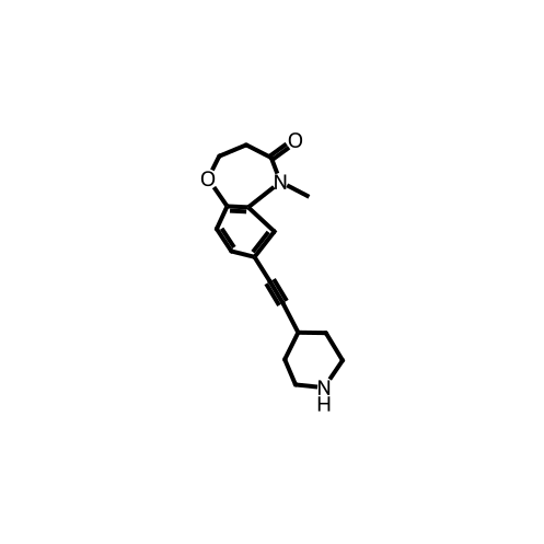 CN1C(=O)CCOc2ccc(C#CC3CCNCC3)cc21